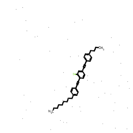 CCCCCCCCCc1ccc(C#Cc2ccc(C#Cc3ccc(CCCC)cc3)cc2F)cc1